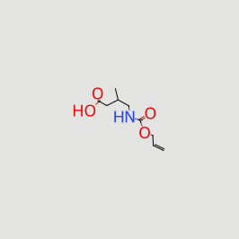 C=CCOC(=O)NCC(C)CC(=O)O